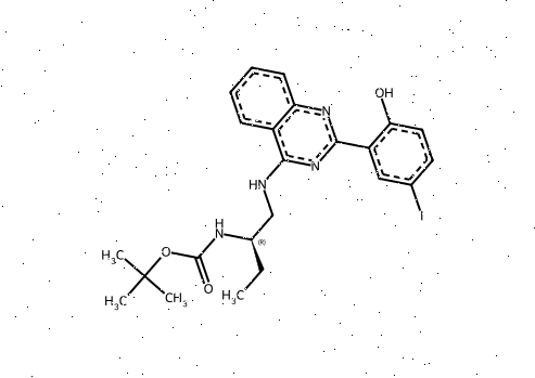 CC[C@H](CNc1nc(-c2cc(I)ccc2O)nc2ccccc12)NC(=O)OC(C)(C)C